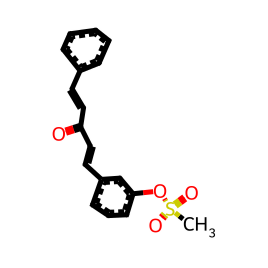 CS(=O)(=O)Oc1cccc(/C=C/C(=O)/C=C/c2ccccc2)c1